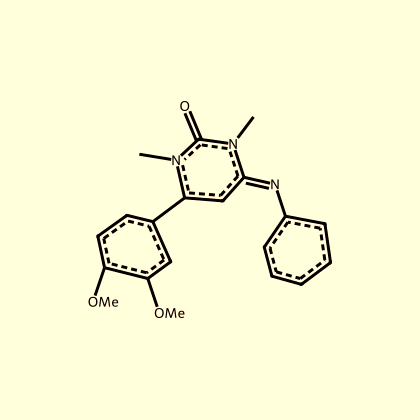 COc1ccc(-c2cc(=Nc3ccccc3)n(C)c(=O)n2C)cc1OC